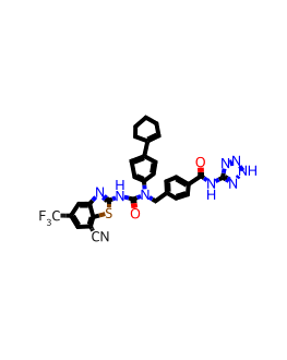 N#Cc1cc(C(F)(F)F)cc2nc(NC(=O)N(Cc3ccc(C(=O)Nc4nn[nH]n4)cc3)c3ccc(C4=CCCCC4)cc3)sc12